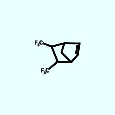 FC(F)(F)C1C2C=CC(C2)C1C(F)(F)F